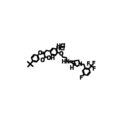 CC(C)(C)c1ccc(O[C@@H](Cc2ccc(OCCN[C@H]3C4CN(Cc5cc(F)ccc5C(F)(F)F)C[C@@H]43)cc2)C(=O)O)cc1.Cl.Cl